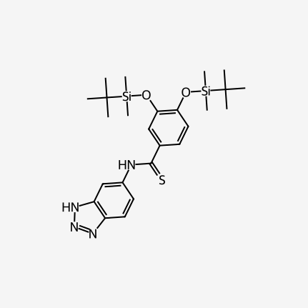 CC(C)(C)[Si](C)(C)Oc1ccc(C(=S)Nc2ccc3nn[nH]c3c2)cc1O[Si](C)(C)C(C)(C)C